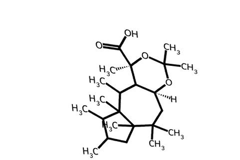 CC1CC2(C)C(C)(C)C[C@@H]3OC(C)(C)O[C@](C)(C(=O)O)C3C(C)C2(C)C1C